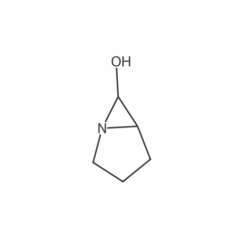 OC1C2CCCN12